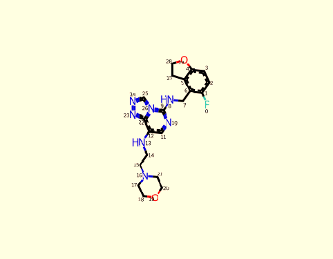 Fc1ccc2c(c1CNc1ncc(NCCN3CCOCC3)c3nncn13)CCO2